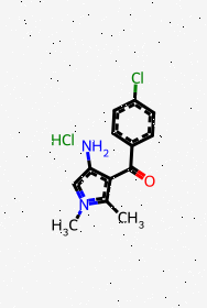 Cc1c(C(=O)c2ccc(Cl)cc2)c(N)cn1C.Cl